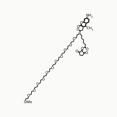 COCCOCCOCCOCCOCCOCCOCCOCCOCCOCCOCCOCCN(CCCCCC(=O)ON1C(=O)CCC1=O)C(=O)Cc1c(C)c2ccc(N)cc2oc1=O